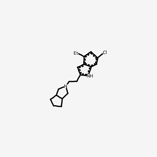 CCc1cc(Cl)cc2[nH]c(CCN3CC4CCCC4C3)cc12